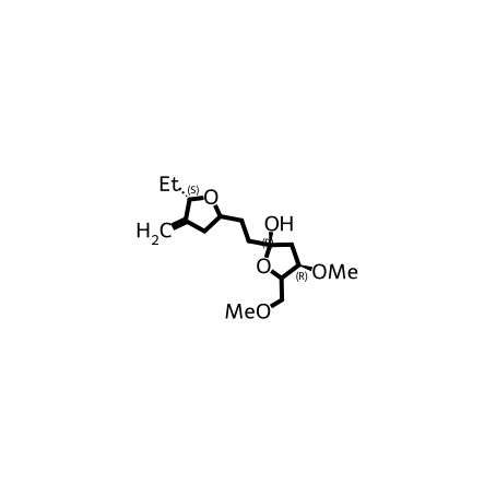 C=C1CC(CC[C@]2(O)C[C@@H](OC)C(COC)O2)O[C@H]1CC